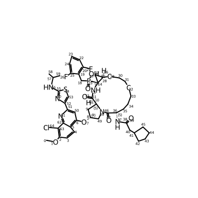 COc1ccc2c(O[C@@H]3C[C@H]4C(=O)N[C@]5(P(=O)(O)Cc6c(F)cccc6F)C[C@H]5CCCCCCC[C@H](NC(=O)CC5CCCC5)C(=O)N4C3)cc(-c3csc(NC(C)C)n3)nc2c1Cl